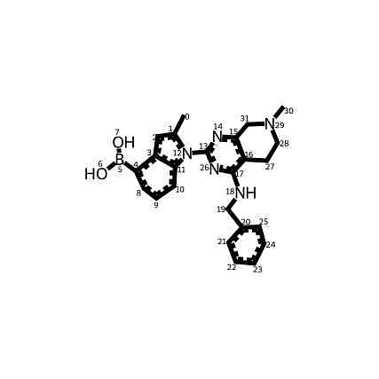 Cc1cc2c(B(O)O)cccc2n1-c1nc2c(c(NCc3ccccc3)n1)CCN(C)C2